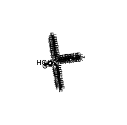 O=C(O)c1ccc([Si](CCC(F)(F)C(F)(F)C(F)(F)C(F)(F)C(F)(F)C(F)(F)C(F)(F)C(F)(F)C(F)(F)C(F)(F)F)(CCC(F)(F)C(F)(F)C(F)(F)C(F)(F)C(F)(F)C(F)(F)C(F)(F)C(F)(F)C(F)(F)C(F)(F)F)CCC(F)(F)C(F)(F)C(F)(F)C(F)(F)C(F)(F)C(F)(F)C(F)(F)C(F)(F)C(F)(F)C(F)(F)F)cc1